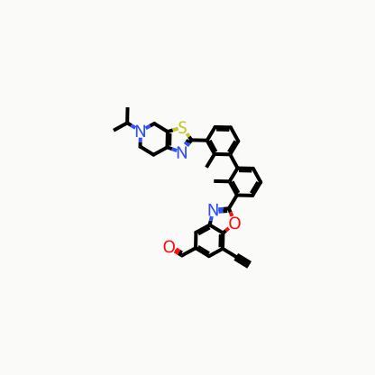 C#Cc1cc(C=O)cc2nc(-c3cccc(-c4cccc(-c5nc6c(s5)CN(C(C)C)CC6)c4C)c3C)oc12